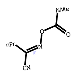 CCC/C(C#N)=N\OC(=O)NC